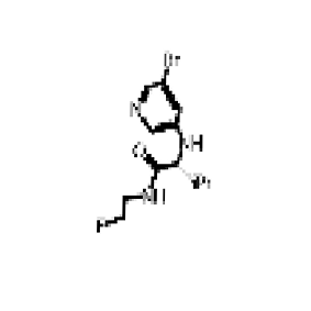 CC(C)[C@@H](Nc1cncc(Br)c1)C(=O)NCCF